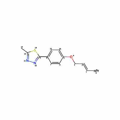 CCCC=CCOc1ccc(-c2nnc(C)s2)cc1